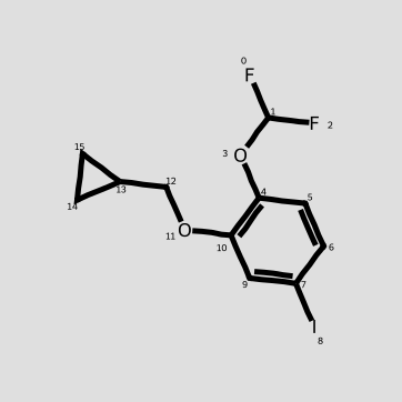 FC(F)Oc1ccc(I)cc1OCC1CC1